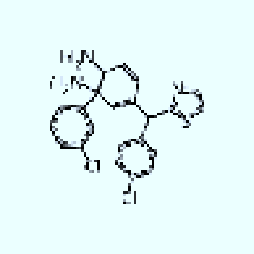 NC1C=CC(C(c2ccc(Cl)cc2)c2nccs2)=CC1(N)c1cccc(Cl)c1